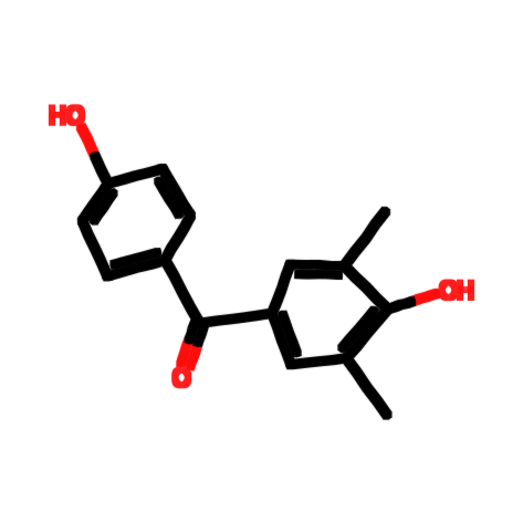 Cc1cc(C(=O)c2ccc(O)cc2)cc(C)c1O